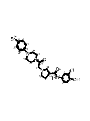 O=C(Nc1ccc(O)c(Cl)c1)C1CCN(CC(=O)N2CCN(c3ccc(Br)cc3)CC2)C1